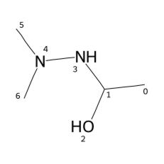 CC(O)NN(C)C